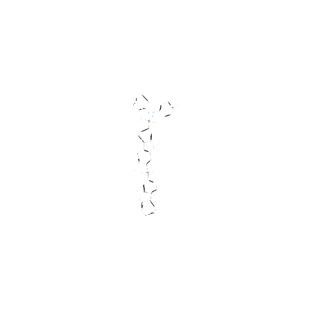 CCC(C)(c1ccc2c(c1)C(C)(C)c1ccccc1-2)c1ccc2c(c1)C(C)(C)c1cc(C(C)(CC)N(c3ccc(C)cc3)c3ccc(C)cc3)ccc1-2